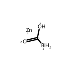 O=[C](O)[BiH2].[Zn]